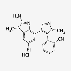 CCc1cc(-c2cnn(C)c2-c2ccccc2C#N)c2nc(N)n(C)c2c1.Cl